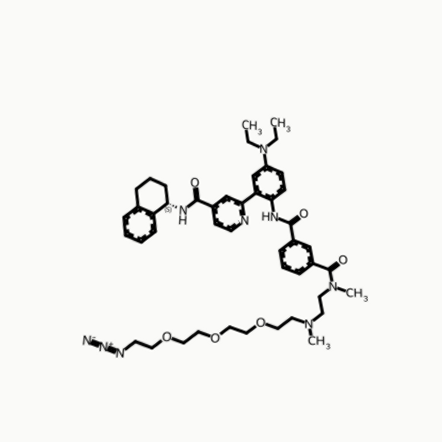 CCN(CC)c1ccc(NC(=O)c2cccc(C(=O)N(C)CCN(C)CCOCCOCCOCCN=[N+]=[N-])c2)c(-c2cc(C(=O)N[C@H]3CCCc4ccccc43)ccn2)c1